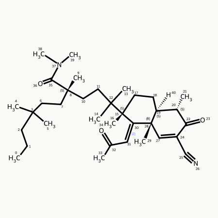 CCCC(C)(C)CC[C@@](C)(CCC(C)(C)[C@]1(C)CC[C@H]2[C@H](C)C(=O)C(C#N)=C[C@]2(C)/C1=C/C(C)=O)C(=O)N(C)C